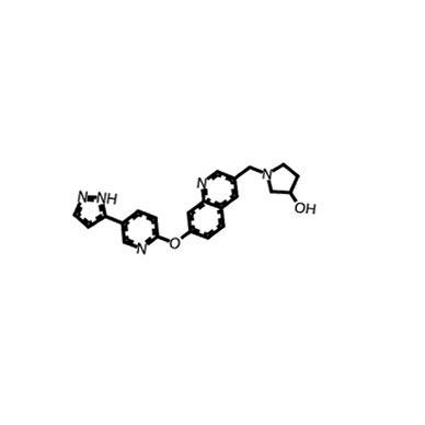 OC1CCN(Cc2cnc3cc(Oc4ccc(-c5ccn[nH]5)cn4)ccc3c2)C1